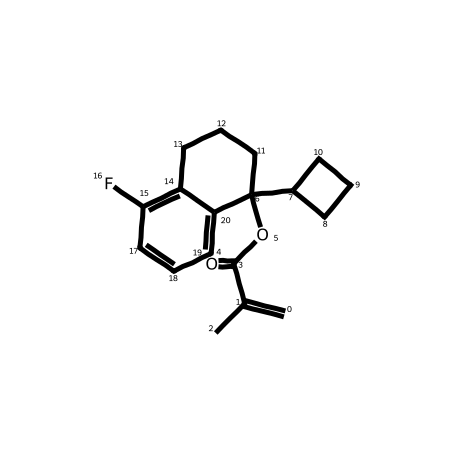 C=C(C)C(=O)OC1(C2CCC2)CCCc2c(F)cccc21